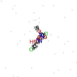 C[Si](C)(C)CCOCn1cc(Cl)c(=O)n(Cc2nc(CC(O)c3ccc(Cl)cc3)no2)c1=O